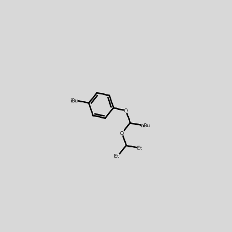 CCCCC(Oc1ccc(C(C)CC)cc1)OC(CC)CC